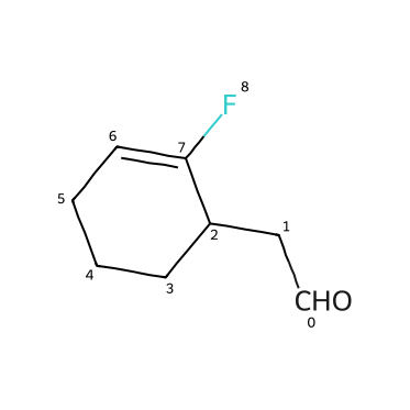 O=CCC1CCCC=C1F